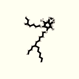 CCCCCCC(CCCC)CCCCCOc1c(OCCCCC(C)CC)c(Br)c2nsnc2c1Br